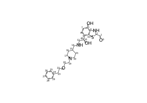 O=CC1Nc2c(O)ccc([C@@H](O)CNCC3CCN(CCOCCc4ccccc4)CC3)c2S1